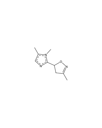 CC1=NOC(c2ncc(C)n2C)C1